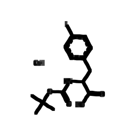 CC(C)(C)OC(=O)NC(Cc1ccc(I)cc1)C(=O)O.[CsH]